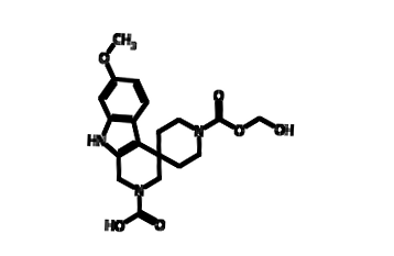 COc1ccc2c3c([nH]c2c1)CN(C(=O)O)CC31CCN(C(=O)OCO)CC1